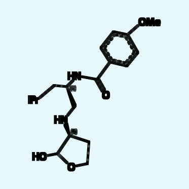 COc1ccc(C(=O)N[C@@H](CN[C@H]2CCOC2O)CC(C)C)cc1